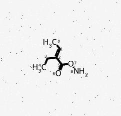 C/C=C(\CC)C(=O)ON